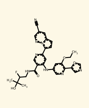 CCOc1cc(Nc2cc(-c3ccc4cc(C#N)cnn34)ncc2C(=O)NCC(F)C(C)(C)O)cnc1-c1cnco1